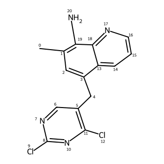 Cc1cc(Cc2cnc(Cl)nc2Cl)c2cccnc2c1N